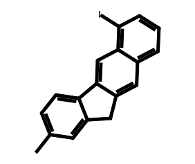 Cc1ccc2c(c1)Cc1cc3cccc(I)c3cc1-2